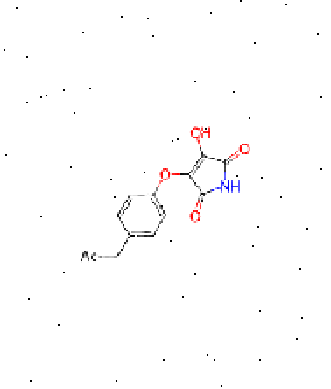 CC(=O)Cc1ccc(OC2=C(O)C(=O)NC2=O)cc1